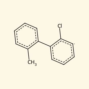 Cc1ccccc1-c1ccc[c]c1Cl